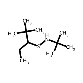 CCC(SNC(C)(C)C)C(C)(C)C